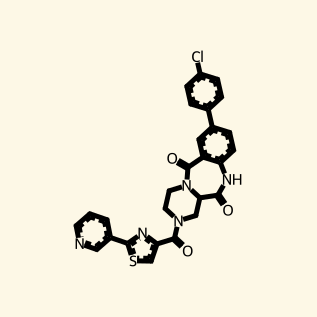 O=C1Nc2ccc(-c3ccc(Cl)cc3)cc2C(=O)N2CCN(C(=O)c3csc(-c4cccnc4)n3)CC12